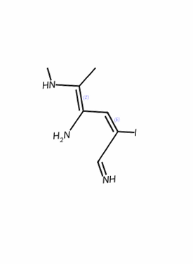 CN/C(C)=C(N)/C=C(/I)C=N